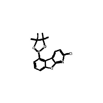 CC1(C)OB(c2cccc3oc4nc(Cl)ccc4c23)OC1(C)C